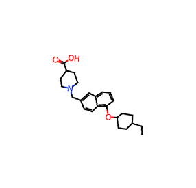 CCC1CCC(Oc2cccc3cc(CN4CCC(C(=O)O)CC4)ccc23)CC1